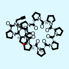 C#CCNC(=O)[C@@H]1CCCN1C(=O)[C@@H]1CCCN1C(=O)[C@@H]1CCCN1C(=O)[C@@H]1CCCN1C(=O)[C@@H]1CCCN1C(=O)[C@@H]1CCCN1C(=O)[C@@H]1CCCN1C(=O)[C@@H]1CCCN1C(=O)[C@@H]1CCCN1C(=O)CN=[N+]=[N-]